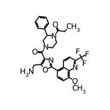 CCC(=O)N1CCN(C(=O)c2nc(-c3ccc(OC)c4nc(C(F)(F)F)ccc34)oc2CN)CC1c1ccccc1